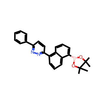 CC1(C)OB(c2cccc3c(-c4ccc(-c5ccccc5)nn4)cccc23)OC1(C)C